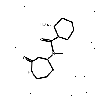 CN(C(=O)C1CCCC[C@H]1O)C1CCCNC(=O)C1